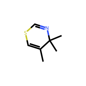 CC1=CSC=NC1(C)C